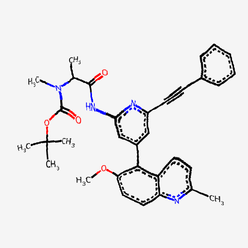 COc1ccc2nc(C)ccc2c1-c1cc(C#Cc2ccccc2)nc(NC(=O)C(C)N(C)C(=O)OC(C)(C)C)c1